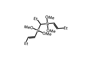 CCC=C[Si](OC)(OC)C(CC)[Si](C=CCC)(OC)OC